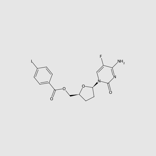 Nc1nc(=O)n([C@H]2CC[C@@H](COC(=O)c3ccc(I)cc3)O2)cc1F